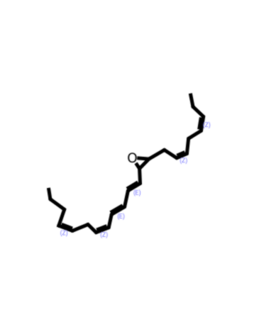 CC/C=C\C/C=C\CC1OC1/C=C/C=C/C=C\C/C=C\CCC